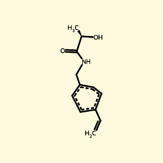 C=Cc1ccc(CNC(=O)[C@@H](C)O)cc1